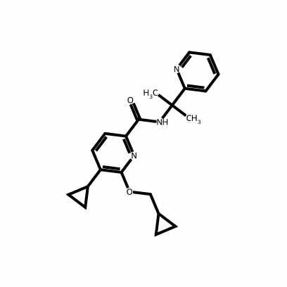 CC(C)(NC(=O)c1ccc(C2CC2)c(OCC2CC2)n1)c1ccccn1